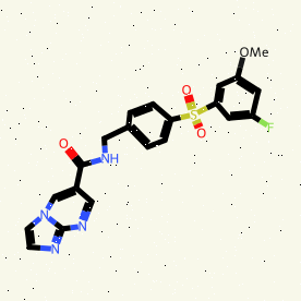 COc1cc(F)cc(S(=O)(=O)c2ccc(CNC(=O)c3cnc4nccn4c3)cc2)c1